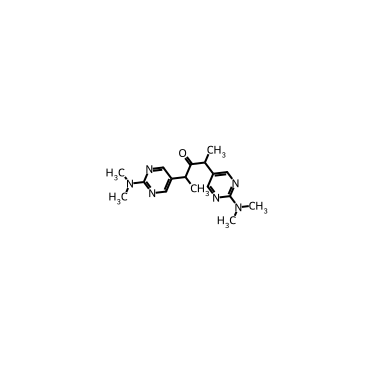 CC(C(=O)C(C)c1cnc(N(C)C)nc1)c1cnc(N(C)C)nc1